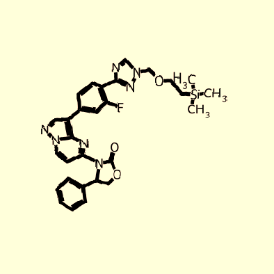 C[Si](C)(C)CCOCn1cnc(-c2ccc(-c3cnn4ccc(N5C(=O)OCC5c5ccccc5)nc34)cc2F)n1